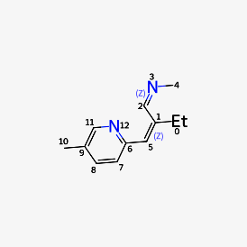 CCC(/C=N\C)=C/c1ccc(C)cn1